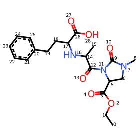 CCOC(=O)C1CN(C)C(=O)N1C(=O)C(C)NC(CCc1ccccc1)C(=O)O